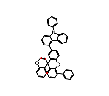 c1ccc(-c2cccc3c2Oc2ccc(-c4cccc5c4c4ccccc4n5-c4ccccc4)cc2C32c3ccccc3Oc3ccccc32)cc1